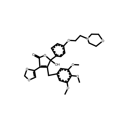 COc1cc(CC2=C(C3=COCO3)C(=O)OC2(O)c2ccc(OCCN3CCOCC3)cc2)cc(OC)c1OC